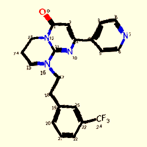 O=c1cc(-c2ccncc2)nc2n1CCCN2CCc1cccc(C(F)(F)F)c1